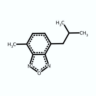 Cc1ccc(CC(C)C)c2nonc12